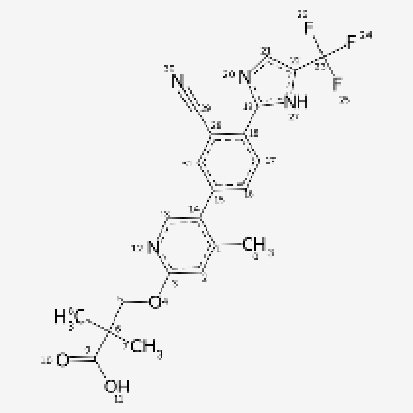 Cc1cc(OCC(C)(C)C(=O)O)ncc1-c1ccc(-c2ncc(C(F)(F)F)[nH]2)c(C#N)c1